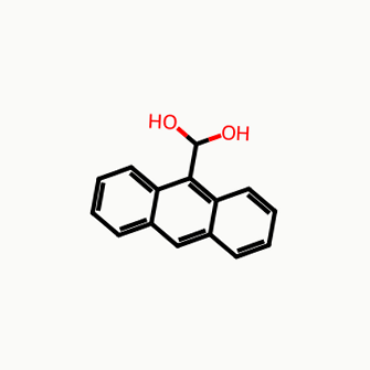 OC(O)c1c2ccccc2cc2ccccc12